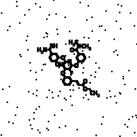 CCOC(=O)C=Cc1cccc(Oc2c(F)c(Oc3cccc(C(=O)N(C)C)c3)nc(Oc3cc(C(=N)N)ccc3O)c2F)c1